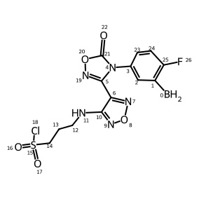 Bc1cc(-n2c(-c3nonc3NCCCS(=O)(=O)Cl)noc2=O)ccc1F